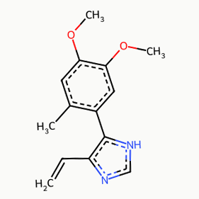 C=Cc1nc[nH]c1-c1cc(OC)c(OC)cc1C